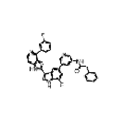 O=C(Cc1ccccc1)Nc1cncc(-c2cc(F)c3[nH]nc(-c4nc5c(-c6cccc(F)c6)nccc5[nH]4)c3c2)c1